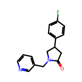 O=C1CC(c2ccc(F)cc2)CN1Cc1cccnc1